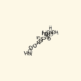 O=C1c2cc(F)c(N3CCN(CCOCCOC4CCNCC4)CC3)cc2C(=O)N1C1CCC(O)NC1O